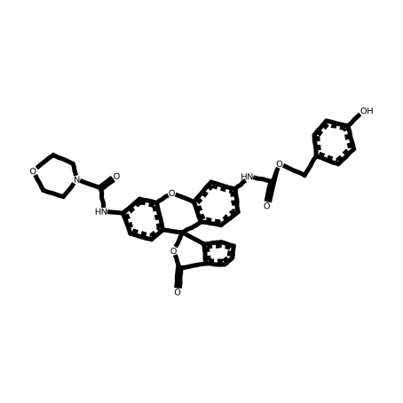 O=C(Nc1ccc2c(c1)Oc1cc(NC(=O)N3CCOCC3)ccc1C21OC(=O)c2ccccc21)OCc1ccc(O)cc1